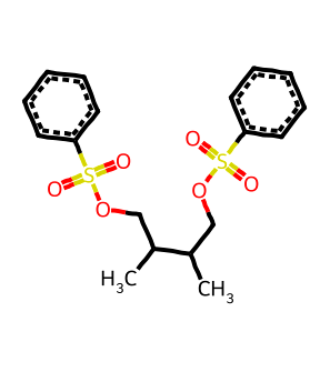 CC(COS(=O)(=O)c1ccccc1)C(C)COS(=O)(=O)c1ccccc1